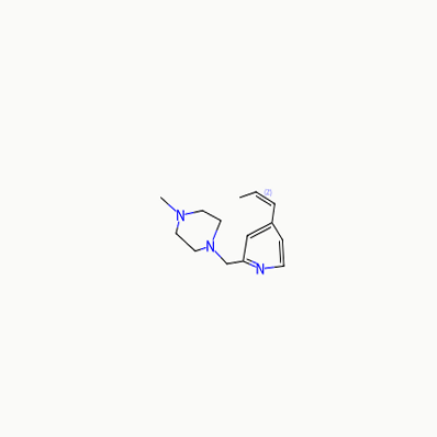 C/C=C\c1ccnc(CN2CCN(C)CC2)c1